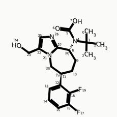 CC(C)(C)N(C(=O)O)[C@@H]1CC[C@@H](c2cccc(F)c2F)Cn2c(CO)cnc21